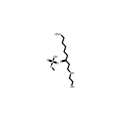 CCCCCCCCCCCCCCCC(=O)CCNCCO.COS(=O)(=O)O